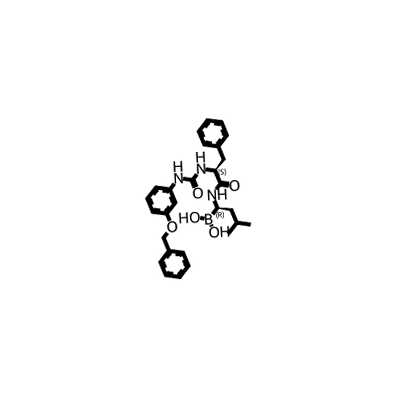 CC(C)C[C@H](NC(=O)[C@H](Cc1ccccc1)NC(=O)Nc1cccc(OCc2ccccc2)c1)B(O)O